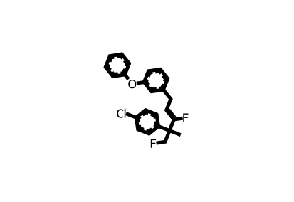 CC(CF)(C(F)=CCc1cccc(Oc2ccccc2)c1)c1ccc(Cl)cc1